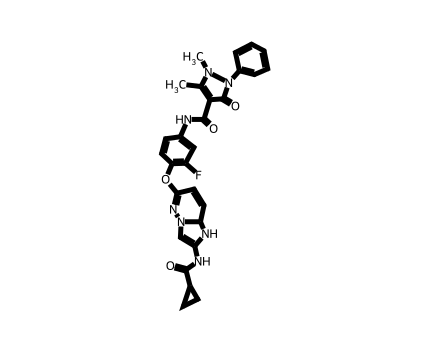 Cc1c(C(=O)Nc2ccc(OC3=NN4C=C(NC(=O)C5CC5)NC4C=C3)c(F)c2)c(=O)n(-c2ccccc2)n1C